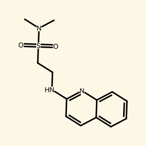 CN(C)S(=O)(=O)CCNc1ccc2ccccc2n1